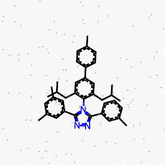 Cc1ccc(-c2cc(CC(C)C)c(-n3c(-c4cccc(C)c4)nnc3-c3cc(C)cc(C)c3)c(CC(C)C)c2)cc1